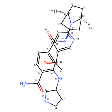 CC(=O)c1ccc(N2[C@@H]3CC[C@H]2C[C@@H](NC(=O)c2ccc(C(N)=O)c(NC4CCNC4)c2)C3)nc1